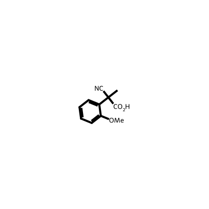 COc1ccccc1C(C)(C#N)C(=O)O